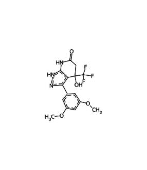 COc1cc(OC)cc(-c2n[nH]c3c2C(O)(C(F)(F)F)CC(=O)N3)c1